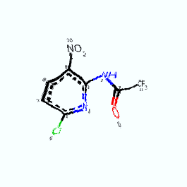 O=C(Nc1nc(Cl)ccc1[N+](=O)[O-])C(F)(F)F